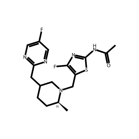 CC(=O)Nc1nc(F)c(CN2CC(Cc3ncc(F)cn3)CC[C@@H]2C)s1